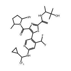 C=C(NC(C)C(C)(C)O)c1nc(C(=O)N2C(C)CCC2CCC)c(-c2cnc(NC(C3CC3)C(F)(F)F)cc2C(F)F)s1